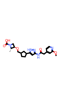 COc1cc(CC(=O)Nc2cc(C3CCC(CO[C@@H]4CN(C(=O)O)[C@H]4C)C3)[nH]n2)ccn1